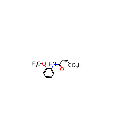 O=C(O)/C=C\C(=O)Nc1ccccc1OC(F)(F)F